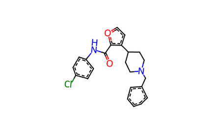 O=C(Nc1ccc(Cl)cc1)c1occc1C1CCN(Cc2ccccc2)CC1